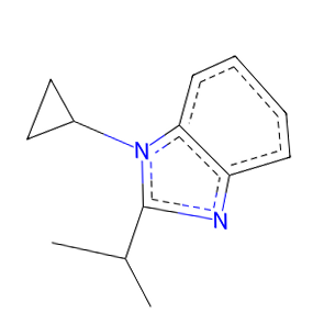 CC(C)c1nc2ccccc2n1C1CC1